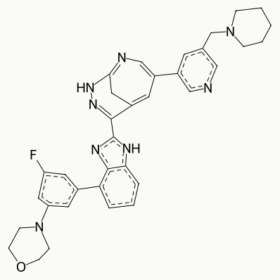 Fc1cc(-c2cccc3[nH]c(C4=NNC5=NC=C(c6cncc(CN7CCCCC7)c6)C=C4C5)nc23)cc(N2CCOCC2)c1